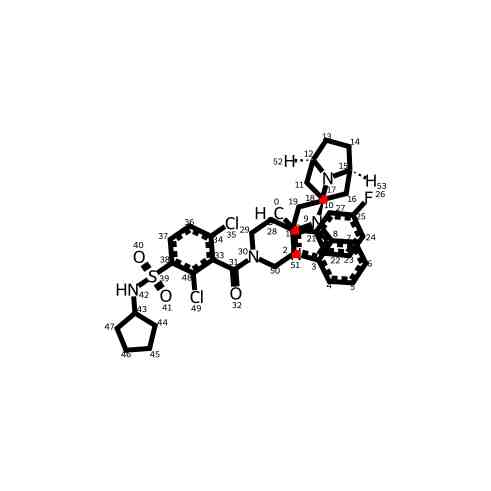 Cc1nc2ccccc2n1[C@H]1C[C@H]2CC[C@@H](C1)N2CCC1(c2cccc(F)c2)CCN(C(=O)c2c(Cl)ccc(S(=O)(=O)NC3CCCC3)c2Cl)CC1